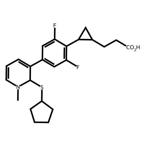 CN1C=CC=C(c2cc(F)c(C3CC3CCC(=O)O)c(F)c2)C1SC1CCCC1